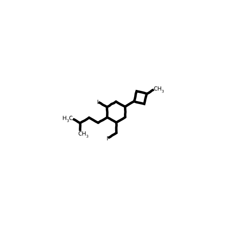 CC(C)CCC1C(I)CC(C2CC(C)C2)CC1CI